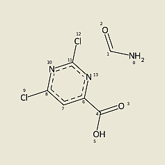 NC=O.O=C(O)c1cc(Cl)nc(Cl)n1